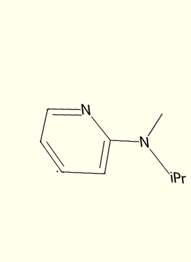 CC(C)N(C)c1c[c]ccn1